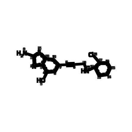 Nc1nc2c(O)cc(C#CCNc3ccccc3Cl)cc2s1